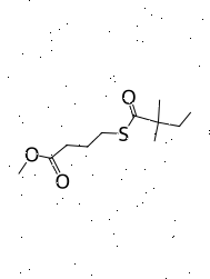 CCC(C)(C)C(=O)SCCCC(=O)OC